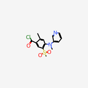 Cc1cc(N(C)c2cccnc2)c(S(C)(=O)=O)cc1C(=O)Cl